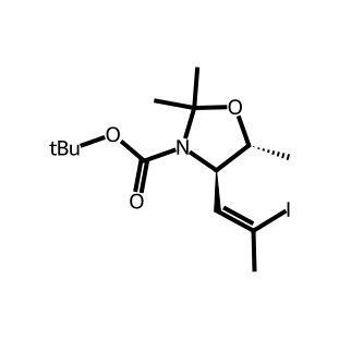 C/C(I)=C/[C@@H]1[C@@H](C)OC(C)(C)N1C(=O)OC(C)(C)C